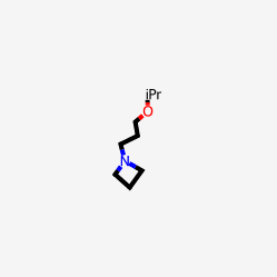 CC(C)OCCCN1CCC1